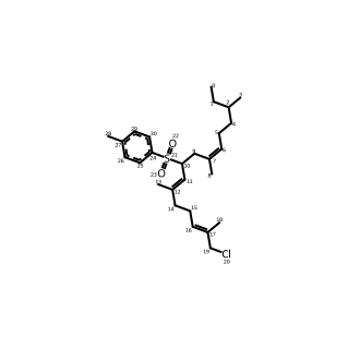 CCC(C)CC/C=C(/C)CC(/C=C(\C)CC/C=C(\C)CCl)S(=O)(=O)c1ccc(C)cc1